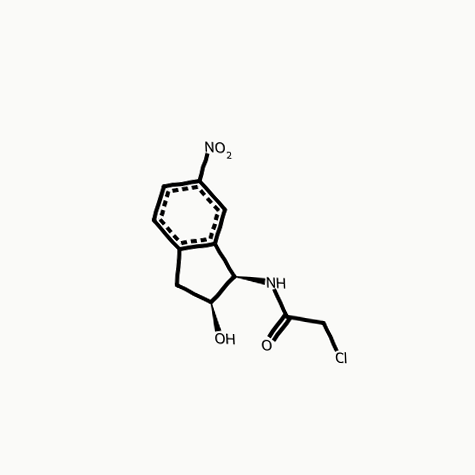 O=C(CCl)N[C@@H]1c2cc([N+](=O)[O-])ccc2C[C@@H]1O